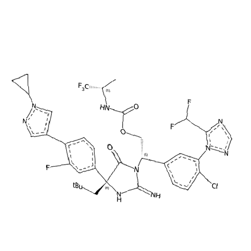 C[C@H](NC(=O)OC[C@H](c1ccc(Cl)c(-n2ncnc2C(F)F)c1)N1C(=N)N[C@](CC(C)(C)C)(c2ccc(-c3cnn(C4CC4)c3)c(F)c2)C1=O)C(F)(F)F